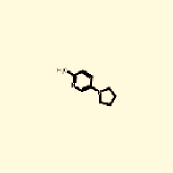 Cc1ccc(N2CCCC2)cn1